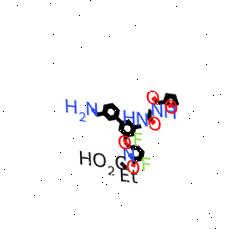 CCC(Oc1nc(Oc2cc(CNC(=O)CNC(=O)c3ccco3)cc(-c3cccc(CN)c3)c2)c(F)cc1F)C(=O)O